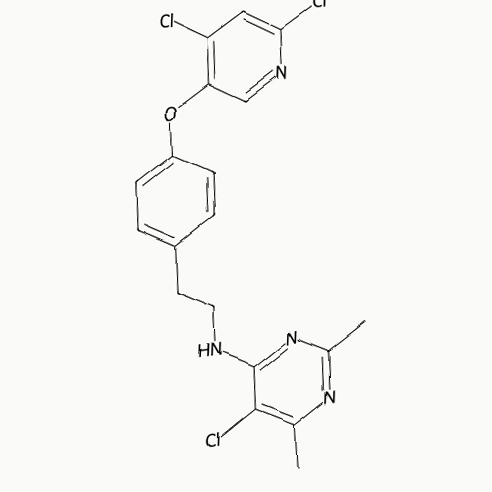 Cc1nc(C)c(Cl)c(NCCc2ccc(Oc3cnc(Cl)cc3Cl)cc2)n1